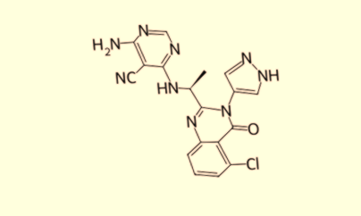 C[C@H](Nc1ncnc(N)c1C#N)c1nc2cccc(Cl)c2c(=O)n1-c1cn[nH]c1